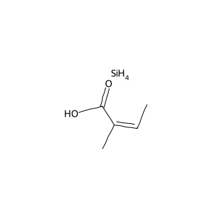 CC=C(C)C(=O)O.[SiH4]